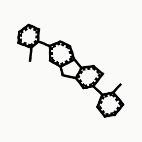 Cc1ccccc1-c1[c]c2c(cc1)-c1ccc(-c3ccccc3C)cc1C2